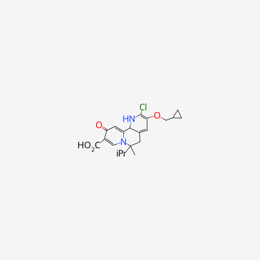 CC(C)C1(C)CC2=CC(OCC3CC3)=C(Cl)NC2c2cc(=O)c(C(=O)O)cn21